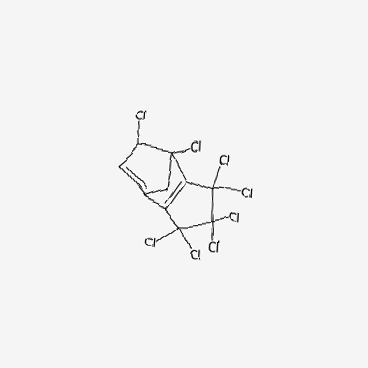 ClC1C=C2CC1(Cl)C1=C2C(Cl)(Cl)C(Cl)(Cl)C1(Cl)Cl